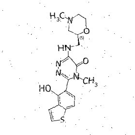 CN1CCO[C@@H](CNc2nnc(-c3ccc4sccc4c3O)n(C)c2=O)C1